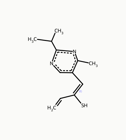 C=C/C(S)=C\c1cnc(C(C)C)nc1C